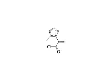 C=C(C(=O)Cl)c1sccc1C